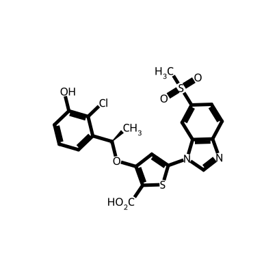 C[C@@H](Oc1cc(-n2cnc3ccc(S(C)(=O)=O)cc32)sc1C(=O)O)c1cccc(O)c1Cl